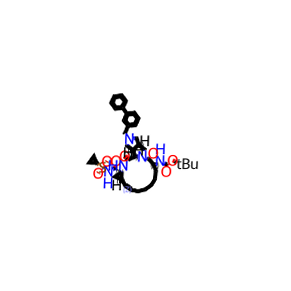 CC(C)(C)OC(=O)N[C@H]1CCCCC/C=C\[C@H]2C[C@@]2(C(=O)NS(=O)(=O)C2CC2)NC(=O)[C@@H]2[C@H]3CN(Cc4cccc(-c5ccccc5)c4)C[C@H]3CN2C1=O